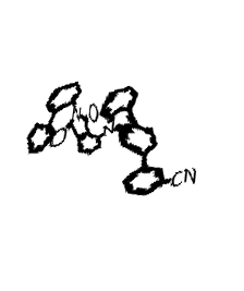 N#Cc1cccc(-c2ccc3c4ccccc4n(-c4cccc5c4C(=O)N(c4ccccc4-c4ccccc4)C5=O)c3c2)c1